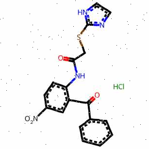 Cl.O=C(CSc1ncc[nH]1)Nc1ccc([N+](=O)[O-])cc1C(=O)c1ccccc1